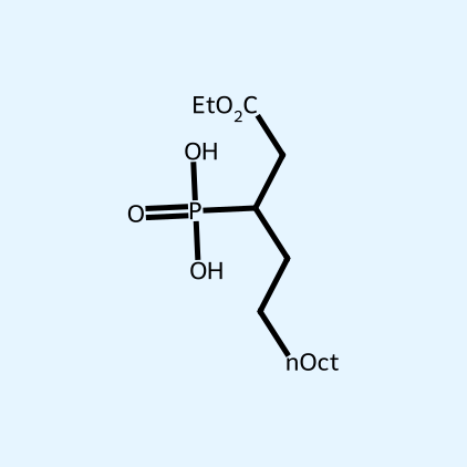 CCCCCCCCCCC(CC(=O)OCC)P(=O)(O)O